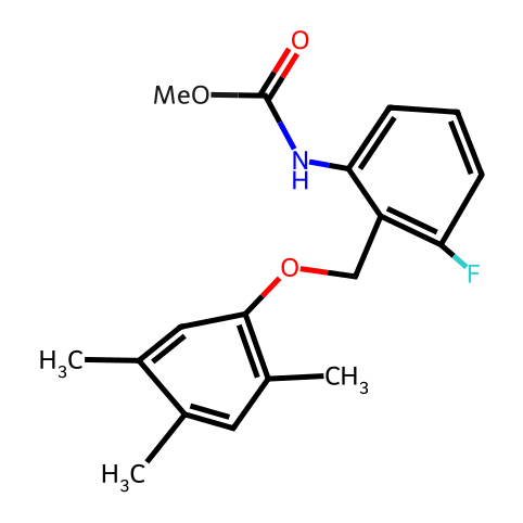 COC(=O)Nc1cccc(F)c1COc1cc(C)c(C)cc1C